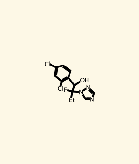 CCC(F)(C(O)c1ccc(Cl)cc1Cl)n1cncn1